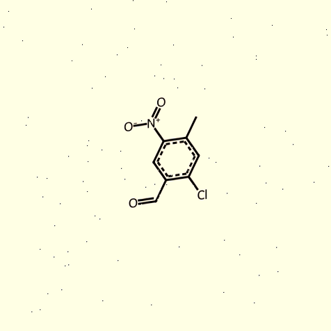 Cc1cc(Cl)c(C=O)cc1[N+](=O)[O-]